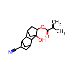 C=C(C)C(=O)OC1CC2CC1(O)C1C3CC(C#N)C(C3)C21